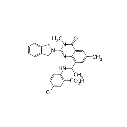 Cc1cc(C(C)Nc2ccc(Cl)cc2C(=O)O)c2nc(N3Cc4ccccc4C3)n(C)c(=O)c2c1